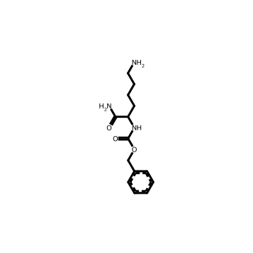 NCCCCC(NC(=O)OCc1ccccc1)C(N)=O